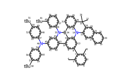 Cc1cccc(C)c1-c1cc2c3c(c1)N1c4cc5ccccc5cc4C(C)(C)c4cccc(c41)B3N(c1cccc(C(C)(C)C)c1)c1cc(N(c3ccc(C(C)(C)C)cc3)c3ccc(C(C)(C)C)cc3)ccc1-2